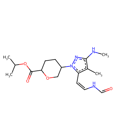 CNc1nn(C2CCC(C(=O)OC(C)C)OC2)c(/C=C\NC=O)c1C